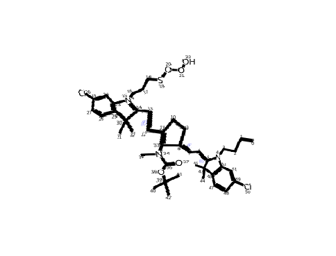 CCCCN1/C(=C/C=C2\CCC(/C=C/C3=[N+](CCCSOOO)c4cc(Cl)ccc4C3(C)C)=C2N(C)C(=O)OC(C)(C)C)C(C)(C)c2ccc(Cl)cc21